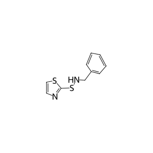 c1ccc(CNSc2nccs2)cc1